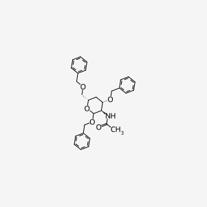 CC(=O)N[C@H]1C(OCc2ccccc2)O[C@H](COCc2ccccc2)C[C@@H]1OCc1ccccc1